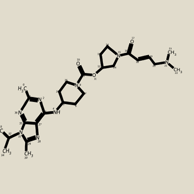 Cc1nc(NC2CCN(C(=O)OC3CCN(C(=O)C=CCN(C)C)C3)CC2)c2nc(C)n(C(C)C)c2n1